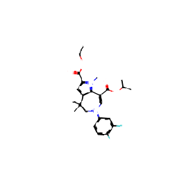 CCOC(=O)c1cc2c(n1C)C(C(=O)OC(C)C)=CN(c1ccc(F)c(F)c1)CC2(C)C